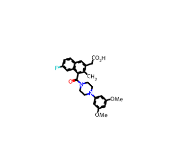 COc1cc(OC)cc(N2CCN(C(=O)c3c(C)c(CC(=O)O)cc4ccc(F)cc34)CC2)c1